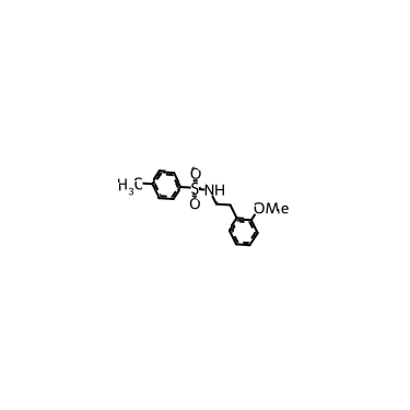 COc1ccccc1CCNS(=O)(=O)c1ccc(C)cc1